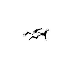 CC#N.CCCOC(=O)Cl.ClCCl